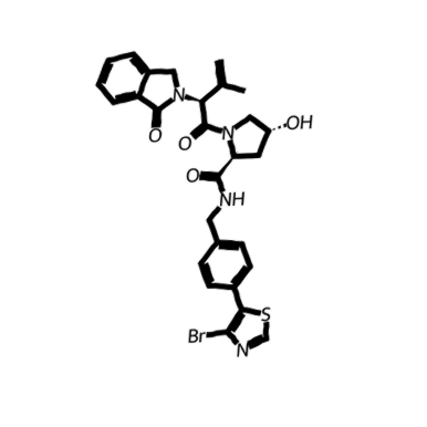 C=C(C)[C@@H](C(=O)N1C[C@H](O)C[C@H]1C(=O)NCc1ccc(-c2scnc2Br)cc1)N1Cc2ccccc2C1=O